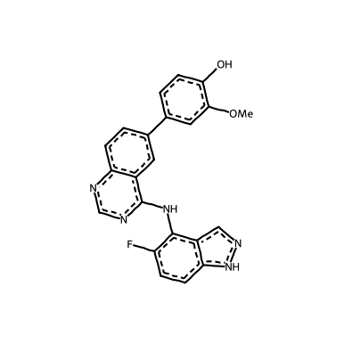 COc1cc(-c2ccc3ncnc(Nc4c(F)ccc5[nH]ncc45)c3c2)ccc1O